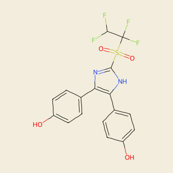 O=S(=O)(c1nc(-c2ccc(O)cc2)c(-c2ccc(O)cc2)[nH]1)C(F)(F)C(F)F